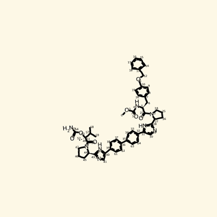 COC(=O)N[C@@H](Cc1ccc(OCc2ccccc2)cc1)C(=O)N1CCCC1c1ncc(-c2ccc(-c3ccc(-c4cnc([C@H]5CCCN5C(=O)[C@@](C)(OC(N)=O)C(C)C)[nH]4)cc3)cc2)[nH]1